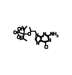 CC(Cn1cnc2c(Cl)nc(N)nc21)OC(C(C)C)(C(C)C)P(=O)(O)O